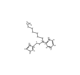 CCCCCCCN(CCc1cs[c]n1)c1cnccn1